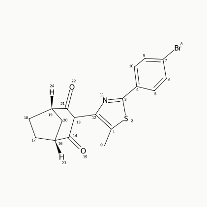 Cc1sc(-c2ccc(Br)cc2)nc1C1C(=O)[C@@H]2CC[C@@H](C2)C1=O